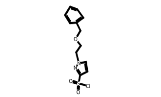 O=S(=O)(Cl)c1ccn(CCOCc2ccccc2)n1